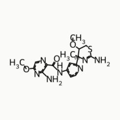 COc1cnc(C(=O)Nc2ccnc([C@@]3(C)N=C(N)SCC3OC)c2)c(N)n1